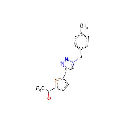 Cc1ccc(Cn2cc(-c3ccc(C(=O)C(F)(F)F)s3)nn2)cc1